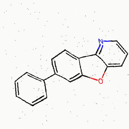 c1ccc(-c2ccc3c(c2)oc2cccnc23)cc1